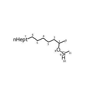 [CH2]C(CCCCCCCCCCCC)O[SiH](C)C